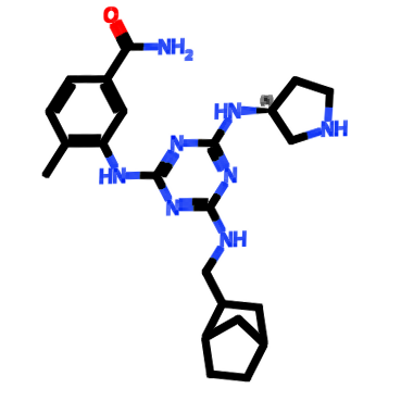 Cc1ccc(C(N)=O)cc1Nc1nc(NCC2CC3CCC2C3)nc(N[C@H]2CCNC2)n1